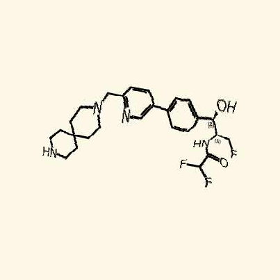 O=C(N[C@H](CF)[C@H](O)c1ccc(-c2ccc(CN3CCC4(CCNCC4)CC3)nc2)cc1)C(F)F